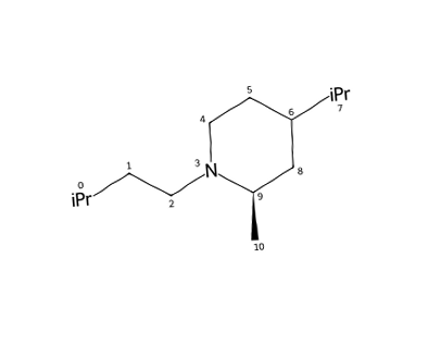 CC(C)CCN1CCC(C(C)C)C[C@H]1C